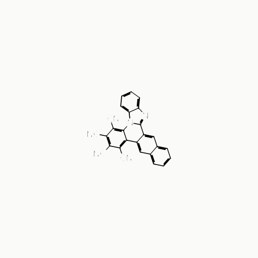 N#Cc1c(C#N)c(C#N)c2c(c1C#N)c1cc3ccccc3cc1c1nc3ccccc3n12